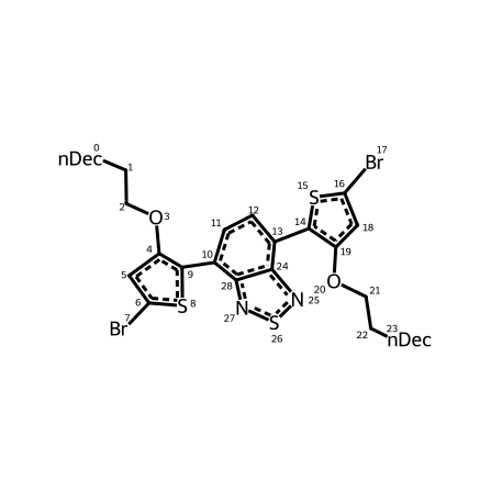 CCCCCCCCCCCCOc1cc(Br)sc1-c1ccc(-c2sc(Br)cc2OCCCCCCCCCCCC)c2nsnc12